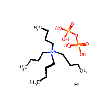 CCCC[N+](CCCC)(CCCC)CCCC.O=P(O)(O)OP(=O)(O)O.[H+]